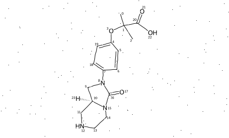 CC(C)(Oc1ccc(N2C[C@@H]3CNCCN3C2=O)cc1)C(=O)O